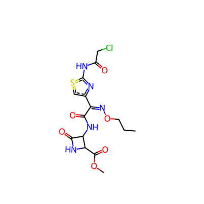 CCCON=C(C(=O)NC1C(=O)NC1C(=O)OC)c1csc(NC(=O)CCl)n1